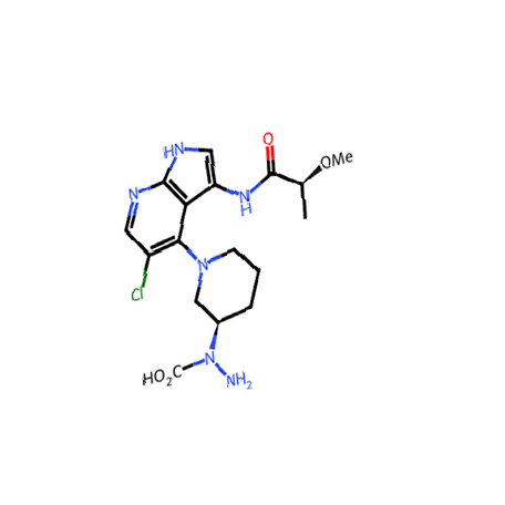 CO[C@@H](C)C(=O)Nc1c[nH]c2ncc(Cl)c(N3CCC[C@@H](N(N)C(=O)O)C3)c12